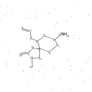 C=CCC1CC(N)CCC1(CC=C)CCC